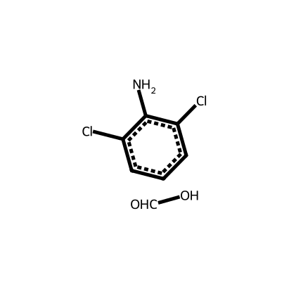 Nc1c(Cl)cccc1Cl.O=CO